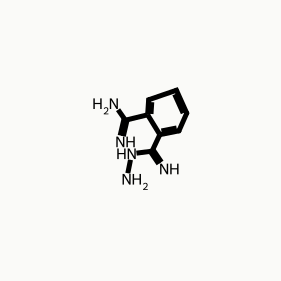 N=C(N)c1ccccc1C(=N)NN